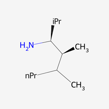 CCCC(C)[C@H](C)[C@@H](N)C(C)C